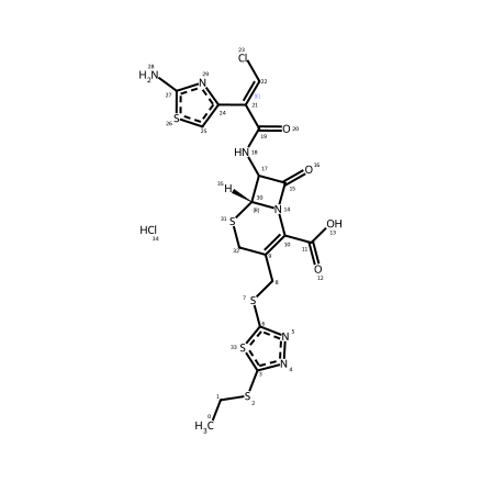 CCSc1nnc(SCC2=C(C(=O)O)N3C(=O)C(NC(=O)/C(=C/Cl)c4csc(N)n4)[C@H]3SC2)s1.Cl